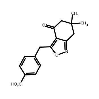 CC1(C)CC(=O)c2c(noc2Cc2ccc(C(=O)O)cc2)C1